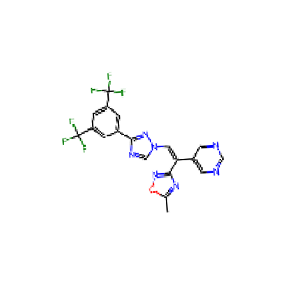 Cc1nc(C(=Cn2cnc(-c3cc(C(F)(F)F)cc(C(F)(F)F)c3)n2)c2cncnc2)no1